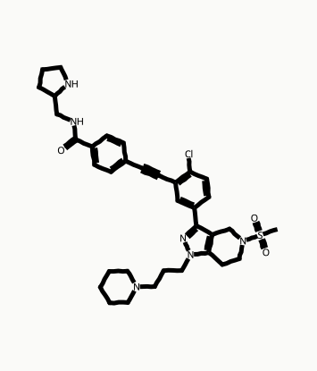 CS(=O)(=O)N1CCc2c(c(-c3ccc(Cl)c(C#Cc4ccc(C(=O)NCC5CCCN5)cc4)c3)nn2CCCN2CCCCC2)C1